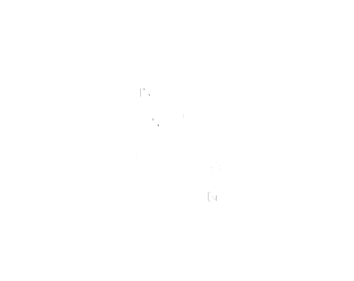 CNC(=O)Nc1c(Cl)cc(C(=O)CBr)cc1Cl